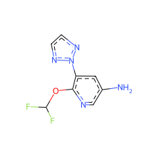 Nc1cnc(OC(F)F)c(-n2nccn2)c1